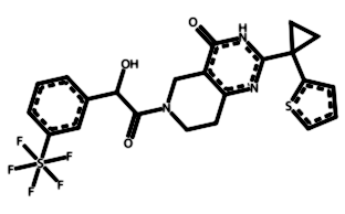 O=C(C(O)c1cccc(S(F)(F)(F)(F)F)c1)N1CCc2nc(C3(c4cccs4)CC3)[nH]c(=O)c2C1